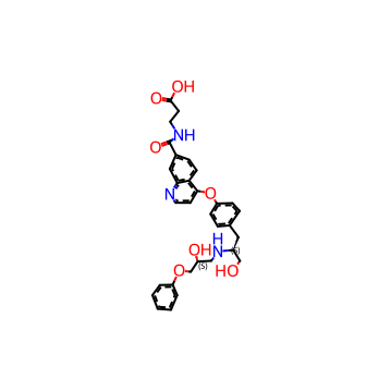 O=C(O)CCNC(=O)c1ccc2c(Oc3ccc(C[C@@H](CO)NC[C@H](O)COc4ccccc4)cc3)ccnc2c1